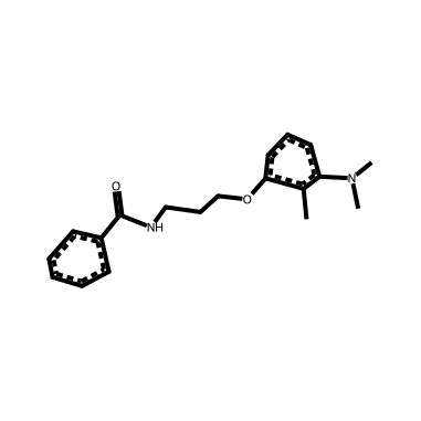 Cc1c(OCCCNC(=O)c2ccccc2)cccc1N(C)C